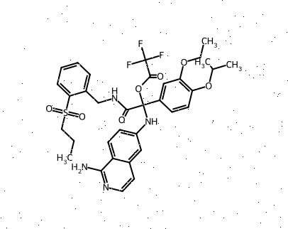 CCCS(=O)(=O)c1ccccc1CNC(=O)C(Nc1ccc2c(N)nccc2c1)(OC(=O)C(F)(F)F)c1ccc(OC(C)C)c(OCC)c1